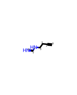 C#CCCNC=N